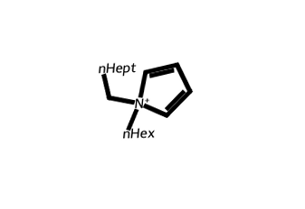 CCCCCCCC[N+]1(CCCCCC)C=CC=C1